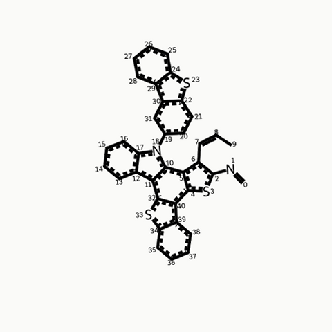 C=Nc1sc2c(c1/C=C\C)c1c(c3ccccc3n1-c1ccc3sc4ccccc4c3c1)c1sc3ccccc3c21